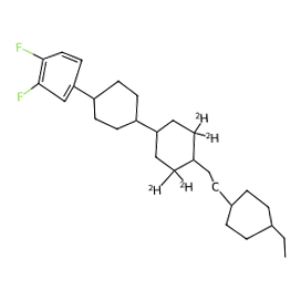 [2H]C1([2H])CC(C2CCC(c3ccc(F)c(F)c3)CC2)CC([2H])([2H])C1CCC1CCC(CC)CC1